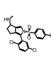 CNC1CCc2c1cn(S(=O)(=O)c1ccc(F)cc1)c2-c1cc(Cl)ccc1Cl